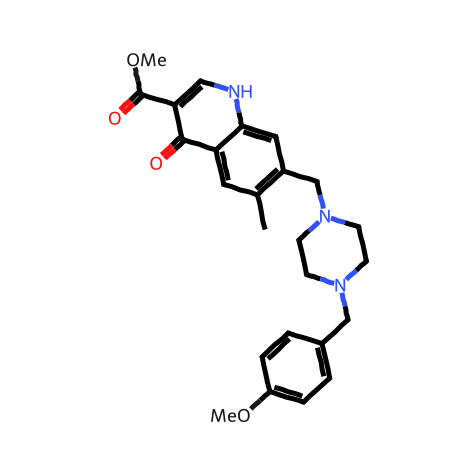 COC(=O)c1c[nH]c2cc(CN3CCN(Cc4ccc(OC)cc4)CC3)c(C)cc2c1=O